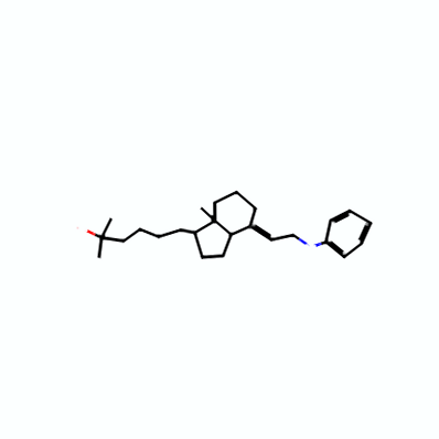 CC(C)(O)CCCCC1CCC2/C(=C/CNc3ccccc3)CCCC12C